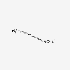 [CH2]C=CCCC=CCCCCCCCCCCC